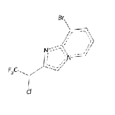 FC(F)(F)C(Cl)c1cn2cccc(Br)c2n1